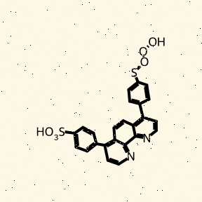 O=S(=O)(O)c1ccc(-c2ccnc3c2ccc2c(-c4ccc(SOOO)cc4)ccnc23)cc1